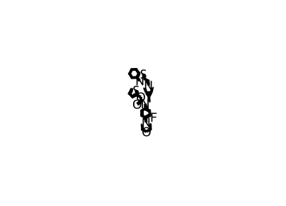 O=C(Oc1cccs1)N(CC1C2CN(Cc3nc4c(s3)CCCC4)CC21)c1ccc(N2CCOCC2)c(F)c1